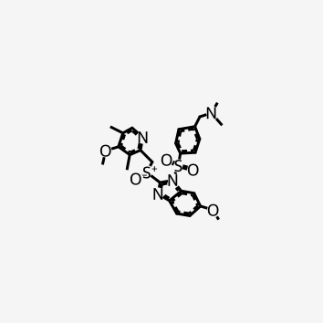 COc1ccc2nc([S+]([O-])Cc3ncc(C)c(OC)c3C)n(S(=O)(=O)c3ccc(CN(C)C)cc3)c2c1